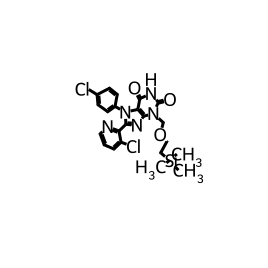 C[Si](C)(C)CCOCn1c(=O)[nH]c(=O)c2c1nc(-c1ncccc1Cl)n2-c1ccc(Cl)cc1